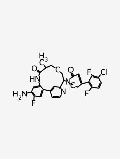 CC1CCCC(N2CCC(c3c(F)ccc(Cl)c3F)=CC2=O)c2cc(ccn2)-c2cc(F)c(N)cc2NC1=O